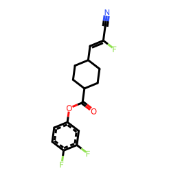 N#CC(F)=CC1CCC(C(=O)Oc2ccc(F)c(F)c2)CC1